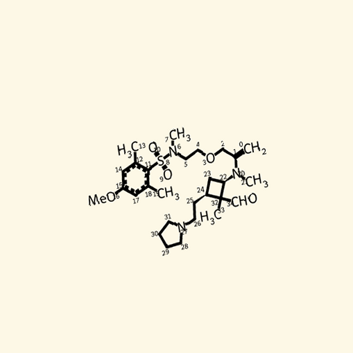 C=C(COCCN(C)S(=O)(=O)c1c(C)cc(OC)cc1C)N(C)[C@@H]1C[C@H](CCN2CCCC2)C1(C)C=O